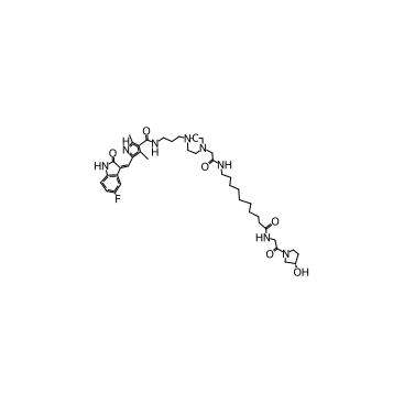 Cc1[nH]c(/C=C2\C(=O)Nc3ccc(F)cc32)c(C)c1C(=O)NCCCN1CCN(CC(=O)NCCCCCCCCCC(=O)NCC(=O)N2CC[C@@H](O)C2)CC1